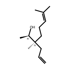 C=CC[C@](C)(CCC=C(C)C)[C@@H](C)O